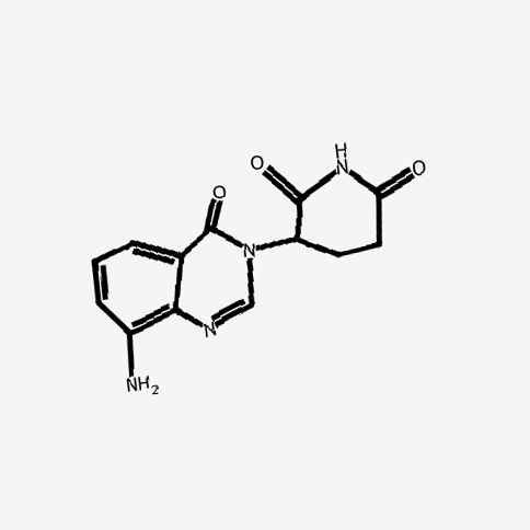 Nc1cccc2c(=O)n(C3CCC(=O)NC3=O)cnc12